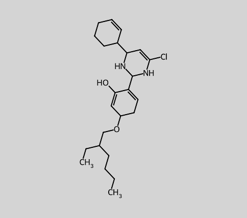 CCCCC(CC)COC1C=C(O)C(C2NC(Cl)=CC(C3C=CCCC3)N2)=CC1